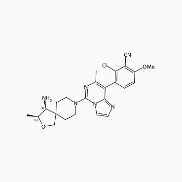 COc1ccc(-c2c(C)nc(N3CCC4(CC3)CO[C@@H](C)[C@H]4N)n3ccnc23)c(Cl)c1C#N